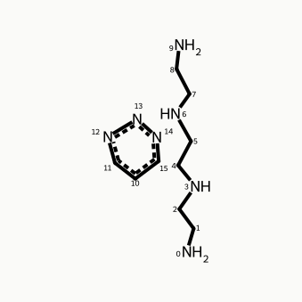 NCCNCCNCCN.c1cnnnc1